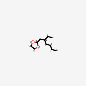 CCCCC(CC)CC1OCCO1